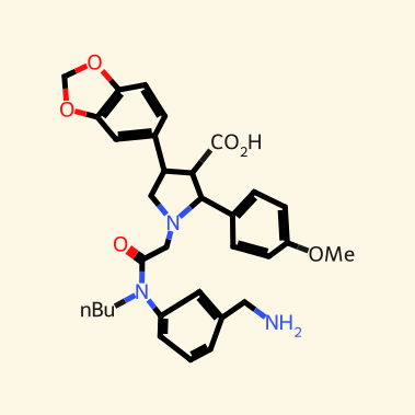 CCCCN(C(=O)CN1CC(c2ccc3c(c2)OCO3)C(C(=O)O)C1c1ccc(OC)cc1)c1cccc(CN)c1